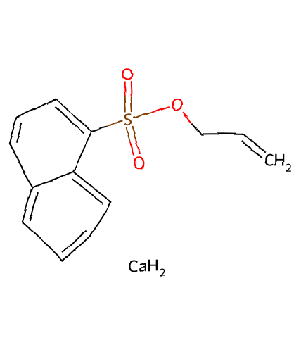 C=CCOS(=O)(=O)c1cccc2ccccc12.[CaH2]